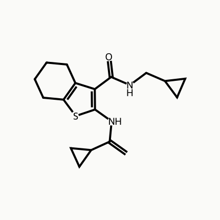 C=C(Nc1sc2c(c1C(=O)NCC1CC1)CCCC2)C1CC1